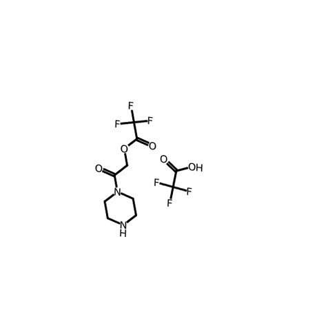 O=C(COC(=O)C(F)(F)F)N1CCNCC1.O=C(O)C(F)(F)F